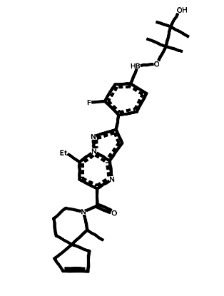 CCc1cc(C(=O)N2CCCC3(CC=CC3)C2C)nc2cc(-c3ccc(BOC(C)(C)C(C)(C)O)cc3F)nn12